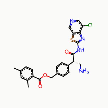 Cc1ccc(C(=O)OCc2ccc([C@@H](CN)C(=O)Nc3nc4c(Cl)cncc4s3)cc2)c(C)c1